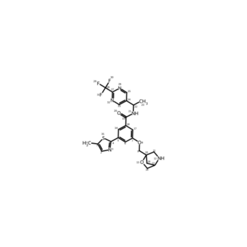 Cc1cnc(-c2cc(OCC34CNC(CO3)C4)cc(C(=O)NC(C)c3cnc(C(F)(F)F)nc3)c2)s1